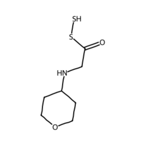 O=C(CNC1CCOCC1)SS